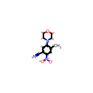 Cc1cc([N+](=O)[O-])c(C#N)cc1N1CCOCC1